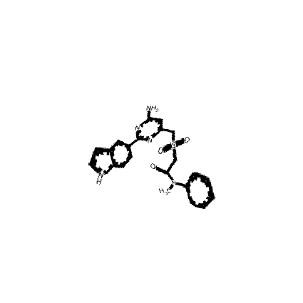 CN(C(=O)CS(=O)(=O)Cc1cc(N)nc(-c2ccc3[nH]ccc3c2)n1)c1ccccc1